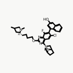 CC1C[C@@H](CCCCOc2nc(N3CC4CCC(C3)N4)c3cc(Cl)c(-c4cc(O)cc5ccccc45)c(F)c3n2)N(C)C1